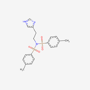 Cc1ccc(S(=O)(=O)N(CCc2c[nH]cn2)S(=O)(=O)c2ccc(C)cc2)cc1